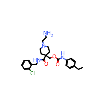 CCc1ccc(NC(=O)OCC2(C(=O)NCc3ccccc3Cl)CCN(CCN)CC2)cc1